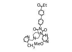 CCC(=O)c1ccc(-c2ccc(N3C(=O)N(c4cc(OC)ncn4)C4(CCN(Cc5ncccc5C)CC4)C3=O)cc2)cc1